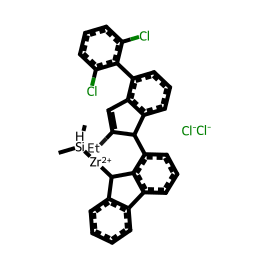 CCC1=Cc2c(-c3c(Cl)cccc3Cl)cccc2C1c1cccc2c1[CH]([Zr+2][SiH](C)C)c1ccccc1-2.[Cl-].[Cl-]